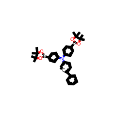 CC1(C)OB(c2ccc(N(c3ccc(B4OC(C)(C)C(C)(C)O4)cc3)c3ccc(-c4ccccc4)cc3)cc2)OC1(C)C